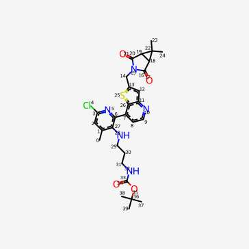 Cc1cc(Cl)nc(-c2ccnc3cc(CN4C(=O)C5C(C4=O)C5(C)C)sc23)c1NCCCNC(=O)OC(C)(C)C